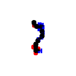 Nc1ncnc2c1c(-c1ccc(Oc3ccccc3)cc1)nn2C1CCN(CC2CCN(CCN3CCC(c4ccc5c(c4)CN(C4CCC(=O)NC4=O)C5=O)CC3)CC2)CC1